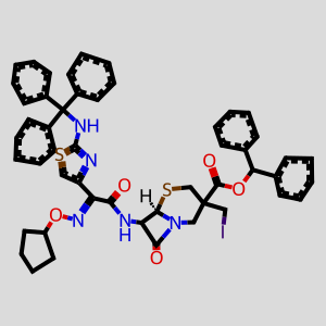 O=C(NC1C(=O)N2CC(CI)(C(=O)OC(c3ccccc3)c3ccccc3)CS[C@H]12)C(=NOC1CCCC1)c1csc(NC(c2ccccc2)(c2ccccc2)c2ccccc2)n1